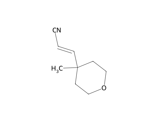 CC1(/C=C/C#N)CCOCC1